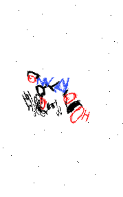 CC(C)(C)[Si](C)(C)Oc1ccc2c(c1)c(-c1cnn(CCOCCCCO)c1)nn2C1CCCCO1